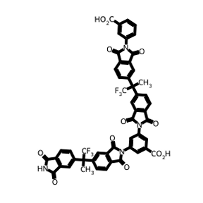 CC(c1ccc2c(c1)C(=O)NC2=O)(c1ccc2c(c1)C(=O)N(c1cc(C(=O)O)cc(N3C(=O)c4ccc(C(C)(c5ccc6c(c5)C(=O)N(c5cccc(C(=O)O)c5)C6=O)C(F)(F)F)cc4C3=O)c1)C2=O)C(F)(F)F